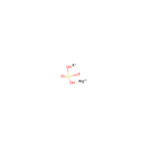 O=S(=O)(O)O.[K+].[Mg+2]